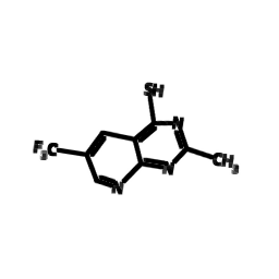 Cc1nc(S)c2cc(C(F)(F)F)cnc2n1